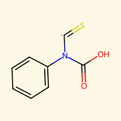 O=C(O)N([C]=S)c1ccccc1